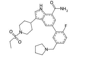 CCS(=O)(=O)N1CCC(c2c[nH]c3c(C(N)=O)cc(-c4cc(CN5CCCC5)ccc4F)cc23)CC1